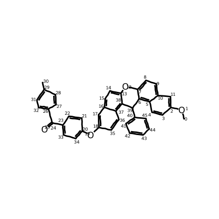 COc1ccc2c3c(ccc2c1)Oc1ccc2cc(Oc4ccc(C(=O)c5ccc(C)cc5)cc4)ccc2c1C3c1ccccc1